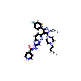 CCCN1CCN(c2c(-c3ccc4nc(NC(=O)c5ccncc5)cn4n3)c(-c3ccc(F)cc3)nn2C)CC1